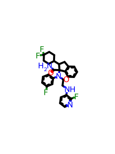 NC(=O)C1(N(C(=O)CNc2cccnc2F)c2cccc(F)c2)c2ccccc2CC1C1CCC(F)(F)CC1